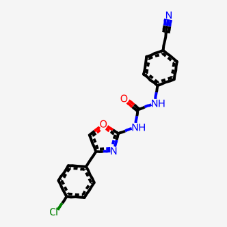 N#Cc1ccc(NC(=O)Nc2nc(-c3ccc(Cl)cc3)co2)cc1